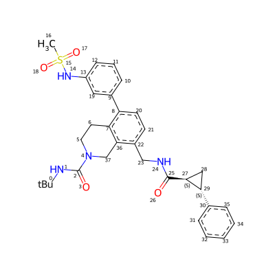 CC(C)(C)NC(=O)N1CCc2c(-c3cccc(NS(C)(=O)=O)c3)ccc(CNC(=O)[C@H]3C[C@@H]3c3ccccc3)c2C1